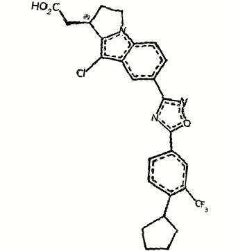 O=C(O)C[C@H]1CCn2c1c(Cl)c1cc(-c3noc(-c4ccc(C5CCCC5)c(C(F)(F)F)c4)n3)ccc12